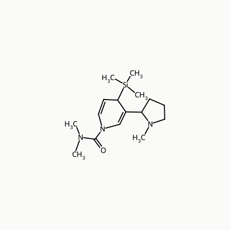 CN(C)C(=O)N1C=CC([Si](C)(C)C)C(C2CCCN2C)=C1